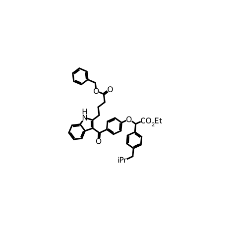 CCOC(=O)C(Oc1ccc(C(=O)c2c(CCCC(=O)OCc3ccccc3)[nH]c3ccccc23)cc1)c1ccc(CC(C)C)cc1